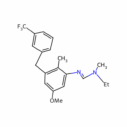 CCN(C)/C=N/c1cc(OC)cc(Cc2cccc(C(F)(F)F)c2)c1C